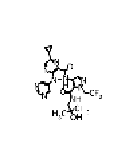 CC(C)(O)CNC(=O)c1c(NC(=O)c2nc(C3CC3)cnc2Nc2cncnc2)cnn1CC(F)(F)F